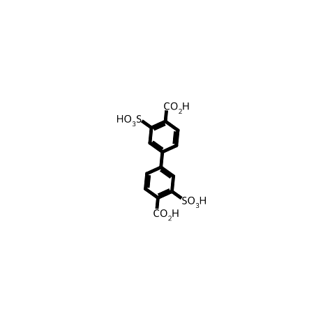 O=C(O)c1ccc(-c2ccc(C(=O)O)c(S(=O)(=O)O)c2)cc1S(=O)(=O)O